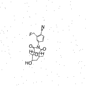 CC12C[C@@H](O)C(C)(O1)[C@@H]1C(=O)N(c3ccc(C#N)c(CF)c3)C(=O)[C@@H]12